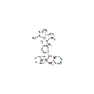 CC(C)[Si](Oc1ccc([C@H](O)[C@H](C)N2C3CCC2CC(O)(Cc2ccccc2)C3)cc1)(C(C)C)C(C)C